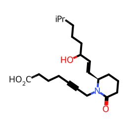 CC(C)CCCC(O)/C=C/[C@H]1CCCC(=O)N1CC#CCCCC(=O)O